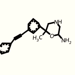 CC1(c2cccc(C#Cc3ccsc3)c2)CNCC(N)O1